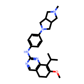 COC1=C(C(C)C)c2nc(Nc3ccc(N4CC5CN(C)CC5C4)cc3)ncc2CC1